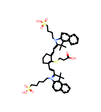 CC1(C)C(/C=C/C2=C(SCCC(=O)O)C(=C/C=C3/N(CCCCS(=O)(=O)O)c4ccc5ccccc5c4C3(C)C)/CCC2)=[N+](CCCCCS(=O)(=O)O)c2ccc3ccccc3c21